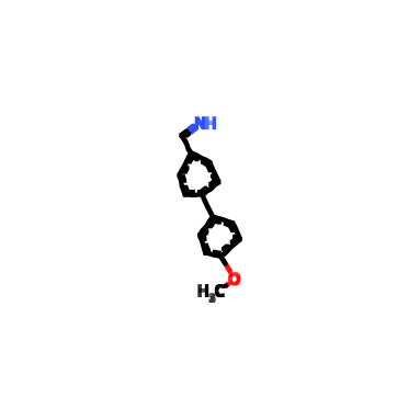 COc1ccc(-c2ccc(C=N)cc2)cc1